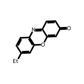 CCc1ccc2nc3ccc(=O)cc-3oc2c1